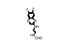 O=CNCCNc1cnc2cc(F)c(F)cc2n1